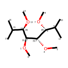 CO[C@H]([C@@H](OC)[C@H](OC)C(C)C)[C@H](OC)C(C)C